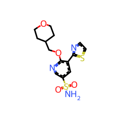 NS(=O)(=O)c1cnc(OCC2CCOCC2)c(-c2nccs2)c1